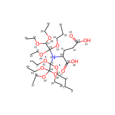 CCCCOC(OCC)(N(C(CCC(=O)O)C(=O)O)C(OCC)(OCCC)C(OCC)OCC)C(OCC)(OCC)OCC